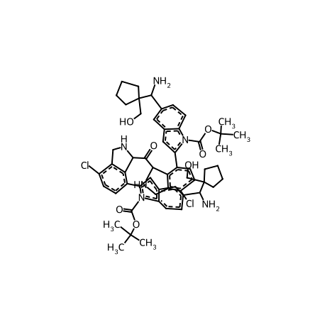 CC(C)(C)OC(=O)n1c(-c2ccc(Cl)c3c2C(C(=O)C2NCc4c(Cl)ccc(-c5cc6cc(C(N)C7(CO)CCCC7)ccc6n5C(=O)OC(C)(C)C)c42)NC3)cc2cc(C(N)C3(CO)CCCC3)ccc21